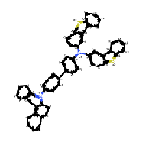 c1ccc2c(c1)ccc1c2c2ccccc2n1-c1ccc(-c2ccc(N(c3ccc4sc5ccccc5c4c3)c3ccc4sc5ccccc5c4c3)cc2)cc1